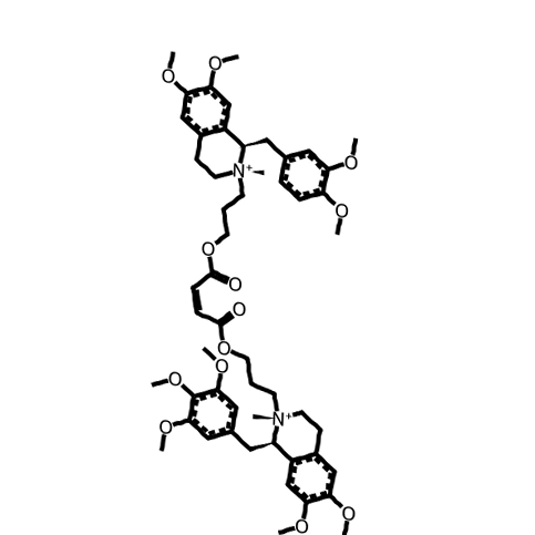 COc1ccc(C[C@@H]2c3cc(OC)c(OC)cc3CC[N@@+]2(C)CCCOC(=O)/C=C\C(=O)OCCC[N@+]2(C)CCc3cc(OC)c(OC)cc3[C@H]2Cc2cc(OC)c(OC)c(OC)c2)cc1OC